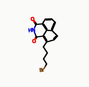 O=C1NC(=O)c2c(CCCCBr)ccc3cccc1c23